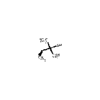 C=CC(S)(C(=O)O)C(=O)O